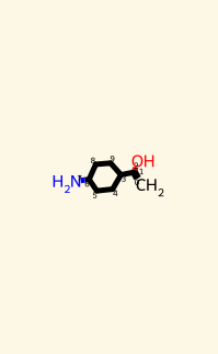 C=C(O)C1CCC(N)CC1